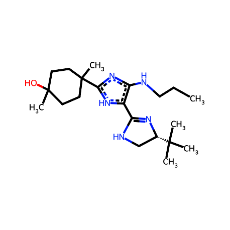 CCCNc1nc(C2(C)CCC(C)(O)CC2)[nH]c1C1=N[C@H](C(C)(C)C)CN1